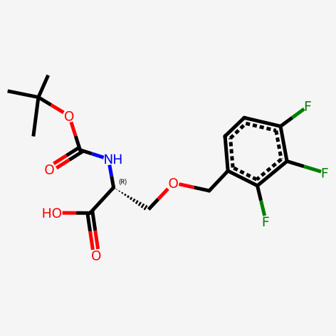 CC(C)(C)OC(=O)N[C@H](COCc1ccc(F)c(F)c1F)C(=O)O